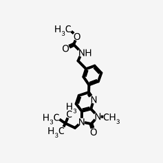 COC(=O)NCc1cccc(-c2ccc3c(n2)n(C)c(=O)n3CC(C)(C)C)c1